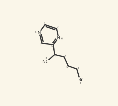 N#CC(CCCBr)c1cnccn1